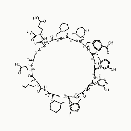 CCCC[C@H]1C(=O)NC(C)(C)C(=O)N[C@@H](CC2CCCCC2)C(=O)N[C@@H](Cc2ccc(F)cc2)C(=O)NC(C)(C)C(=O)N[C@@H](Cc2ccc(O)cc2)C(=O)N[C@@H](Cc2ccc(O)cc2)C(=O)N[C@@H](Cc2ccc(C(=O)O)cc2)C(=O)N[C@@H](CC2CCNCC2)C(=O)N[C@@H](CC2CCCCC2)C(=O)N[C@H](C(=O)N[C@H](CCC(=O)O)C(N)=O)CSCC(=O)N(C)[C@@H](CCC(=O)O)C(=O)N1C